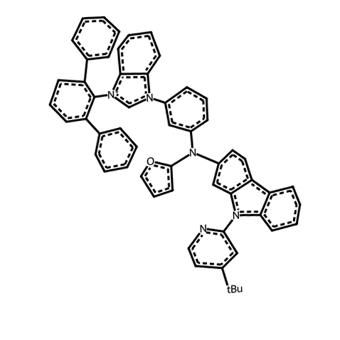 CC(C)(C)c1ccnc(-n2c3ccccc3c3ccc(N(c4cccc(-n5c[n+](-c6c(-c7ccccc7)cccc6-c6ccccc6)c6ccccc65)c4)c4ccco4)cc32)c1